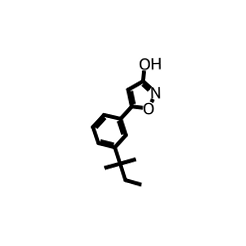 CCC(C)(C)c1cccc(-c2cc(O)no2)c1